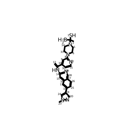 BC(C)(S)N1CCN(c2cc(C(=C)Nc3cc4cc(-c5cnn(C)c5)ccc4cn3)ccn2)CC1